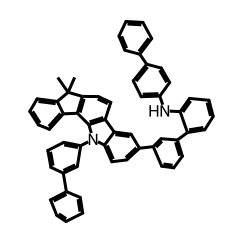 CC1(C)c2ccccc2-c2c1ccc1c3cc(-c4cccc(-c5ccccc5Nc5ccc(-c6ccccc6)cc5)c4)ccc3n(-c3cccc(-c4ccccc4)c3)c21